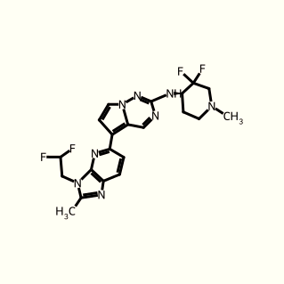 Cc1nc2ccc(-c3ccn4nc(N[C@@H]5CCN(C)CC5(F)F)ncc34)nc2n1CC(F)F